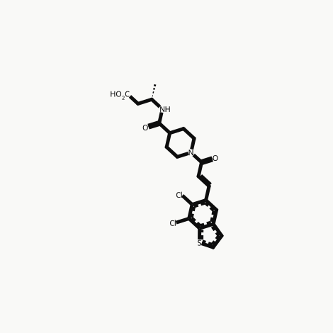 C[C@@H](CC(=O)O)NC(=O)C1CCN(C(=O)/C=C/c2cc3ccsc3c(Cl)c2Cl)CC1